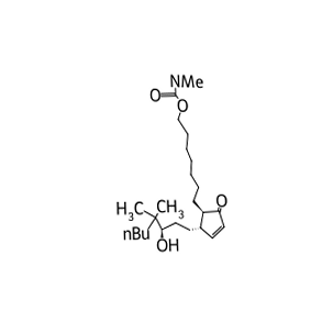 CCCCC(C)(C)[C@H](O)CC[C@H]1C=CC(=O)[C@@H]1CCCCCCCOC(=O)NC